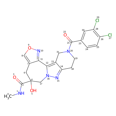 CNC(=O)C1(O)Cc2conc2-c2c3c(nn2C1)CCN(C(=O)c1ccc(Cl)c(Cl)c1)C3